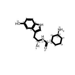 CC(=O)[C@H](Cc1c[nH]c2ccc(O)cc12)NC(=O)[C@H]1CCC[C@H](N)C1